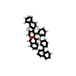 c1cc(-c2cccc3ccccc23)cc(N(c2ccccc2-c2cccc3oc4c5ccccc5ccc4c23)c2cccc3ccccc23)c1